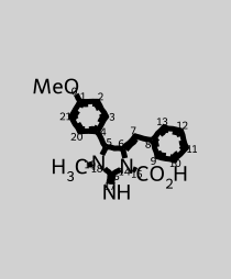 COc1ccc(C2/C(=C/c3ccccc3)N(C(=O)O)C(=N)N2C)cc1